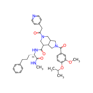 CNC(=O)[C@H](CCCc1ccccc1)NC(=O)C1CN(C(=O)Cc2ccncc2)CC2CN(C(=O)c3ccc(OC(C)C)c(OC)c3)CC21